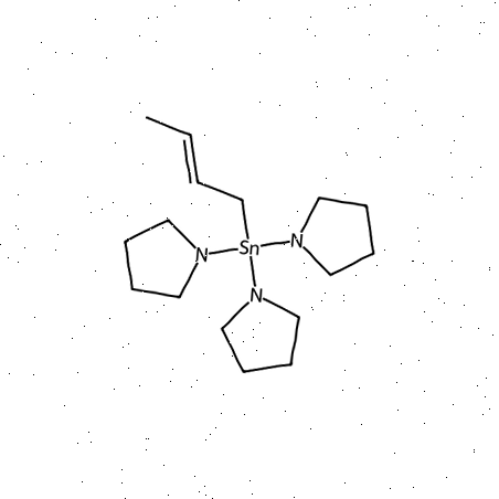 CC=C[CH2][Sn]([N]1CCCC1)([N]1CCCC1)[N]1CCCC1